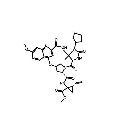 C=C[C@@H]1C[C@]1(NC(=O)[C@@H]1C[C@@H](Oc2cc(C(=O)O)nc3cc(OC)ccc23)CN1C(=O)[C@@H](NC(=O)OC1CCCC1)C(C)(C)C)C(=O)OC